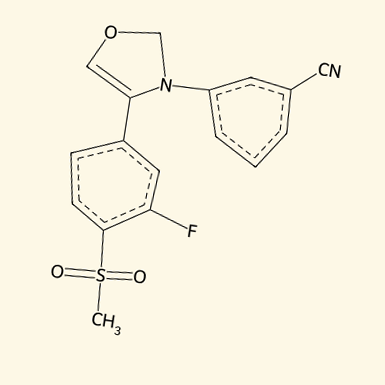 CS(=O)(=O)c1ccc(C2=COCN2c2cccc(C#N)c2)cc1F